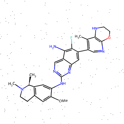 COc1cc2c(cc1Nc1ncc3c(N)c(F)c(-c4cnc5c(c4C)NCCO5)cc3n1)[C@H](C)N(C)CC2